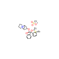 CCCSC(CC)OC(C(=O)OC1CC2CCC(C1)[N+]21CCCC1)(c1ccccc1)c1ccccc1.O=S(=O)([O-])C(F)(F)F